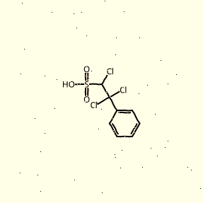 O=S(=O)(O)C(Cl)C(Cl)(Cl)c1ccccc1